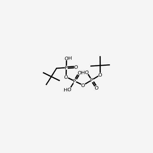 CC(C)(C)CP(=O)(O)OP(=O)(O)OP(=O)(O)OC(C)(C)C